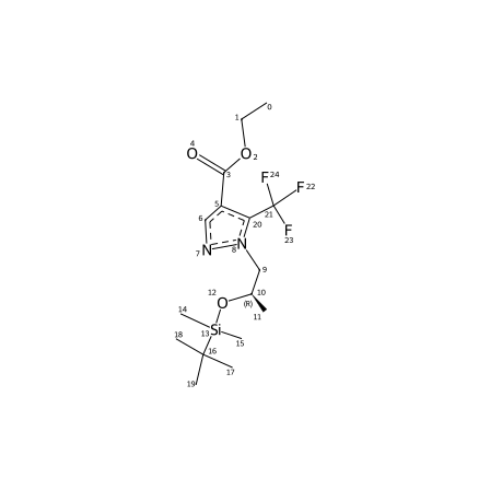 CCOC(=O)c1cnn(C[C@@H](C)O[Si](C)(C)C(C)(C)C)c1C(F)(F)F